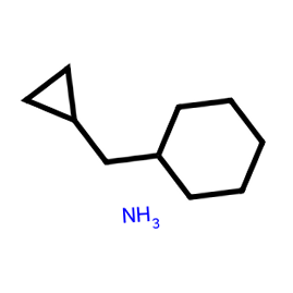 C1CCC(CC2CC2)CC1.N